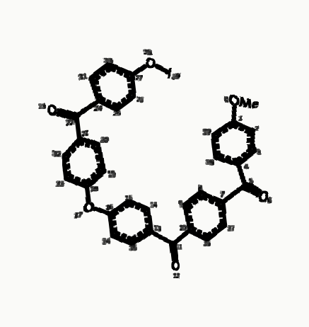 COc1ccc(C(=O)c2ccc(C(=O)c3ccc(Oc4ccc(C(=O)c5ccc(OI)cc5)cc4)cc3)cc2)cc1